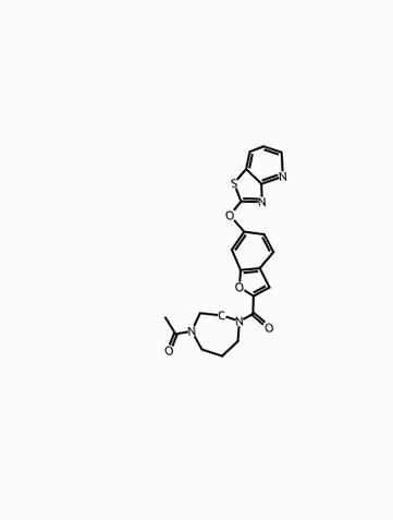 CC(=O)N1CCCN(C(=O)c2cc3ccc(Oc4nc5ncccc5s4)cc3o2)CC1